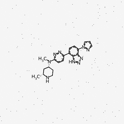 C[C@@H]1C[C@H](N(C)c2ccc(-c3ccc(-n4cccn4)c4nn[nH]c34)nn2)CCN1